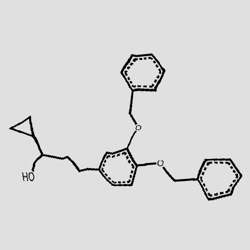 OC(CCc1ccc(OCc2ccccc2)c(OCc2ccccc2)c1)C1CC1